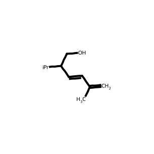 C=C(C)C=CC(CO)C(C)C